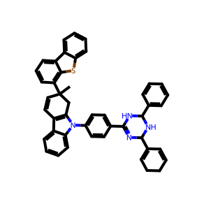 CC1(c2cccc3c2sc2ccccc23)C=Cc2c(n(-c3ccc(C4=NC(C5=CCCC=C5)NC(c5ccccc5)N4)cc3)c3ccccc23)C1